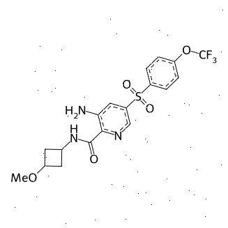 COC1CC(NC(=O)c2ncc(S(=O)(=O)c3ccc(OC(F)(F)F)cc3)cc2N)C1